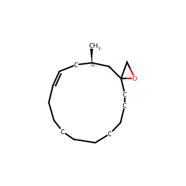 C[C@@H]1CC=CCCCCCCCCCC2(CO2)C1